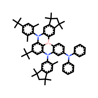 Cc1cc2c(cc1N1c3cc(N(c4ccccc4)c4ccccc4)ccc3B3c4cc5c(cc4N(c4c(C)cc(C(C)(C)C)cc4C)c4cc(C(C)(C)C)cc1c43)C(C)(C)CC5(C)C)C(C)(C)CC2(C)C